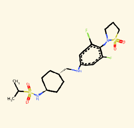 CC(C)S(=O)(=O)N[C@H]1CC[C@H](CNc2cc(F)c(N3CCCS3(=O)=O)c(F)c2)CC1